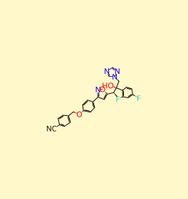 C[C@@H](c1cc(-c2ccc(OCc3ccc(C#N)cc3)cc2)no1)[C@](O)(Cn1cncn1)c1ccc(F)cc1F